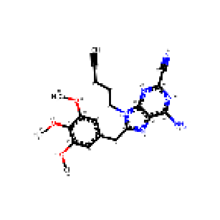 C#CCCCn1c(Cc2cc(OC)c(OC)c(OC)c2)nc2c(N)nc(C#N)nc21